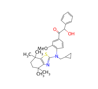 COc1cc(C(=O)C(O)c2ccccc2)ccc1N(CC1CC1)c1nc2c(s1)C(C)(C)CCC2(C)C